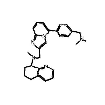 CN(C)Cc1ccc(-c2cccc3nc(CN(C)C4CCCc5cccnc54)cn23)cc1